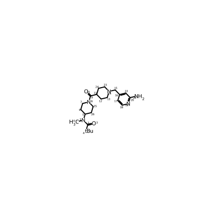 CN(C(=O)C(C)(C)C)C1CCN(C(=O)C2CCN(Cc3ccnc(N)c3)CC2)CC1